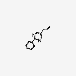 C=CCc1cnc(-c2cc[c]cc2)nc1